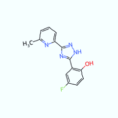 Cc1cccc(-c2n[nH]c(-c3cc(F)ccc3O)n2)n1